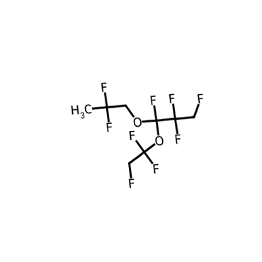 CC(F)(F)COC(F)(OC(F)(F)CF)C(F)(F)CF